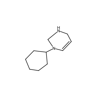 C1=CN(C2CCCCC2)CNC1